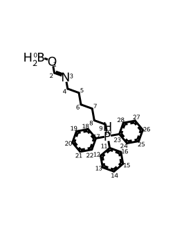 BOC=NCCCCCC[PH](c1ccccc1)(c1ccccc1)c1ccccc1